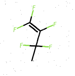 [CH2]C(F)(F)C(F)=C(F)F